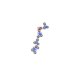 c1ccc(-n2c3ccccc3c3ccc(-c4ccc5oc6ccc(-c7nc8c9c(cccc9n7)-c7cc(-c9ccc(-n%10c%11ccccc%11c%11c(-c%12ccc(-c%13nc%14c%15c(cccc%15n%13)-c%13ccccc%13-%14)c%13ccccc%12%13)cccc%11%10)cc9)ccc7-8)cc6c5c4)cc32)cc1